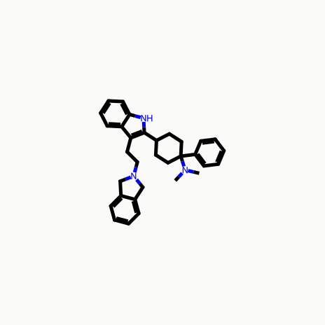 CN(C)C1(c2ccccc2)CCC(c2[nH]c3ccccc3c2CCN2Cc3ccccc3C2)CC1